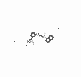 NCCc1cccc(OCCCNc2cccc3ccccc23)c1